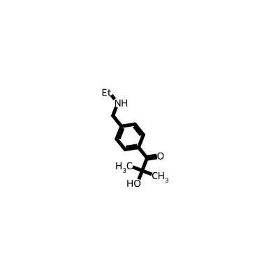 CCNCc1ccc(C(=O)C(C)(C)O)cc1